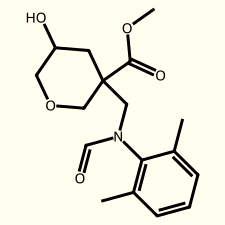 COC(=O)C1(CN(C=O)c2c(C)cccc2C)COCC(O)C1